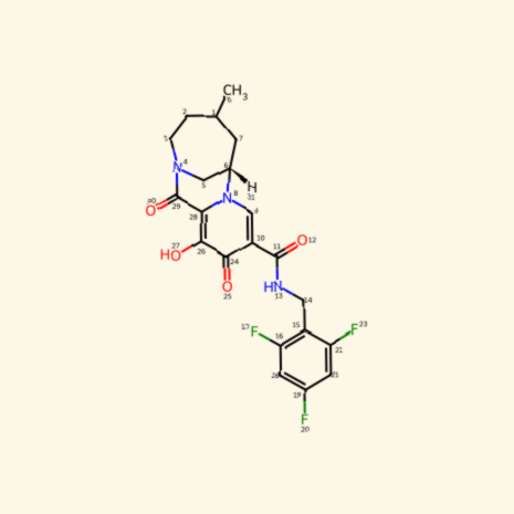 CC1CCN2C[C@H](C1)n1cc(C(=O)NCc3c(F)cc(F)cc3F)c(=O)c(O)c1C2=O